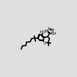 CCCCCCC(C)(C)c1cc(O)c2c(c1)OC(C)(C)CC2c1nnn[nH]1